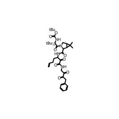 C=CCCC(NC(=O)C1C2C(CN1C(=O)[C@@H](NC(=O)OC(C)(C)C)C(C)(C)C)C2(C)C)C(=O)C(=O)NCC(=O)C(=O)Cc1ccccc1